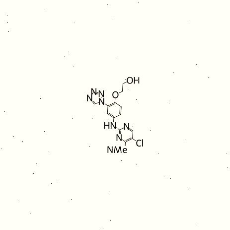 CNc1nc(Nc2ccc(OCCO)c(-n3cnnn3)c2)ncc1Cl